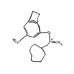 C[C@H](Oc1cc(C(=O)O)cc2c1CC2)C1CCCCC1